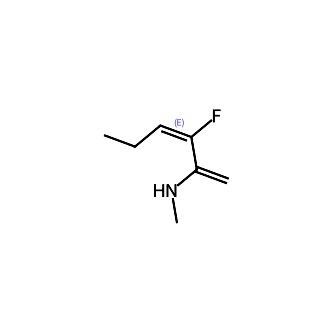 C=C(NC)/C(F)=C\CC